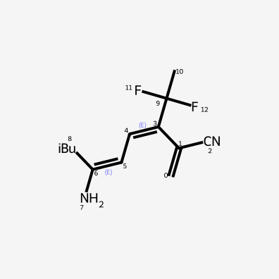 C=C(C#N)/C(=C\C=C(\N)C(C)CC)C(C)(F)F